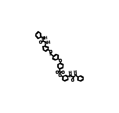 O=C(Nc1ccccc1)Nc1cccc(OSc2ccc(Oc3ccc(S(=O)(=O)Oc4cccc(NC(=O)Nc5ccccc5)c4)cc3)cc2)c1